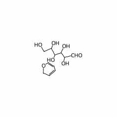 C1=CCOC=C1.O=CC(O)C(O)C(O)C(O)CO